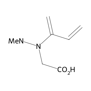 C=CC(=C)N(CC(=O)O)NC